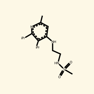 Cc1cc(NCCNS(C)(=O)=O)c(C(C)C)c(C(C)C)n1